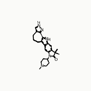 CN1CCC(N2C(=O)C(C)(C)c3cc4[nH]c5c(c4cc32)CCCc2c[nH]nc2-5)CC1